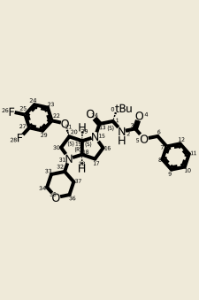 CC(C)(C)[C@H](NC(=O)OCc1ccccc1)C(=O)N1CC[C@@H]2[C@H]1[C@@H](Oc1ccc(F)c(F)c1)CN2C1CCOCC1